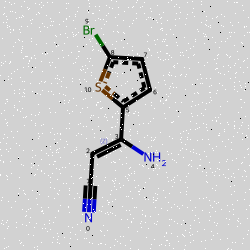 N#C/C=C(\N)c1ccc(Br)s1